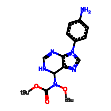 CC(C)(C)OC(=O)N(OC(C)(C)C)C1NC=Nc2c1ncn2-c1ccc(N)cc1